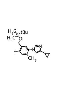 Cc1cc(F)c(CO[Si](C)(C)C(C)(C)C)cc1-n1cnc(C2CC2)c1